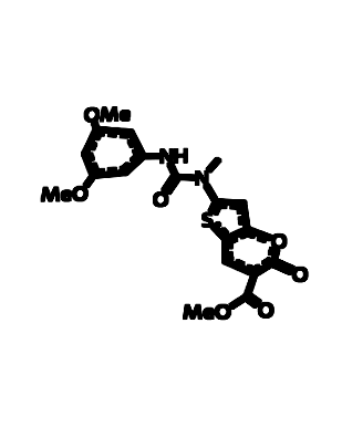 COC(=O)c1cc2sc(N(C)C(=O)Nc3cc(OC)cc(OC)c3)cc2oc1=O